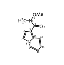 CON(C)C(=O)c1ccn2ccccc12